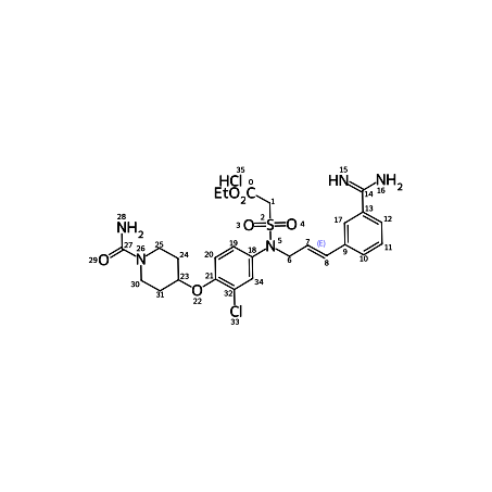 CCOC(=O)CS(=O)(=O)N(C/C=C/c1cccc(C(=N)N)c1)c1ccc(OC2CCN(C(N)=O)CC2)c(Cl)c1.Cl